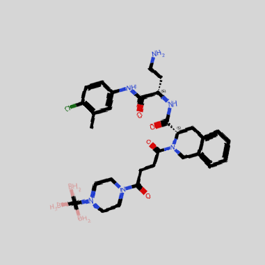 BC(B)(B)N1CCN(C(=O)CCC(=O)N2Cc3ccccc3C[C@H]2C(=O)N[C@@H](CCN)C(=O)Nc2ccc(Cl)c(C)c2)CC1